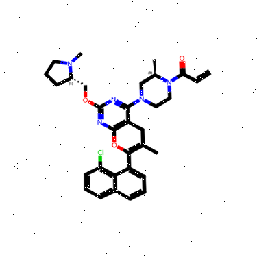 C=CC(=O)N1CCN(c2nc(OC[C@@H]3CCCN3C)nc3c2CC(C)=C(c2cccc4cccc(Cl)c24)O3)C[C@H]1C